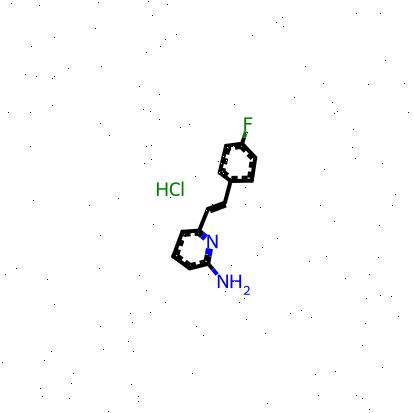 Cl.Nc1cccc(/C=C/c2ccc(F)cc2)n1